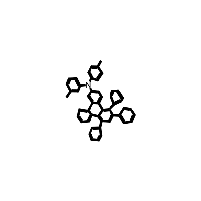 Cc1ccc(N(c2cccc(C)c2)c2ccc3c(c2)c2ccccc2c2c(-c4ccccc4)cc(-c4ccccc4)c(-c4ccccc4)c32)cc1